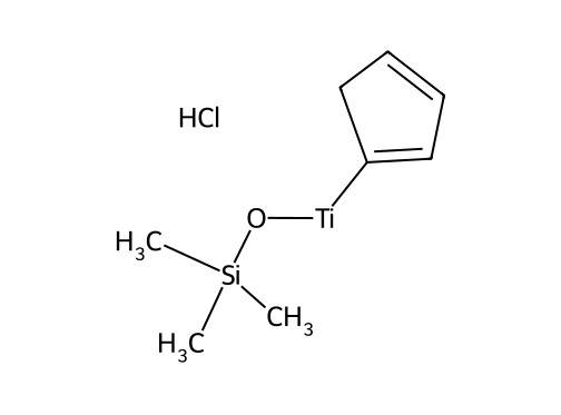 C[Si](C)(C)[O][Ti][C]1=CC=CC1.Cl